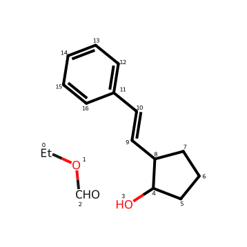 CCOC=O.OC1CCCC1C=Cc1ccccc1